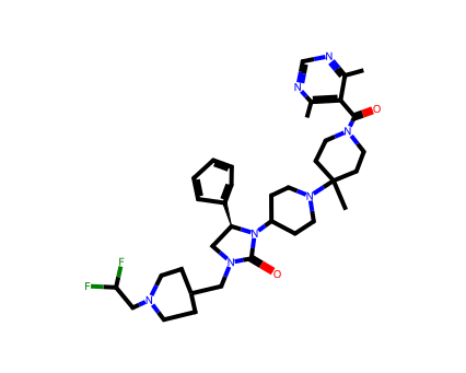 Cc1ncnc(C)c1C(=O)N1CCC(C)(N2CCC(N3C(=O)N(CC4CCN(CC(F)F)CC4)C[C@H]3c3ccccc3)CC2)CC1